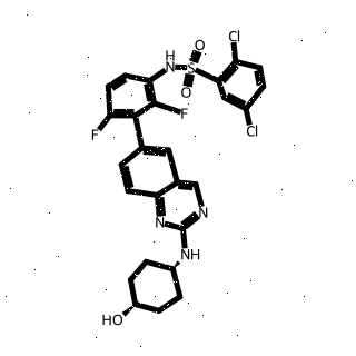 O=S(=O)(Nc1ccc(F)c(-c2ccc3nc(N[C@H]4CC[C@H](O)CC4)ncc3c2)c1F)c1cc(Cl)ccc1Cl